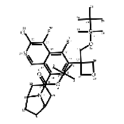 CC(C)(C)OC(=O)N1C2CCC1CN(c1nc(C3(CO[Si](C)(C)C(C)(C)C)COC3)c(Br)c3c(F)c(Cl)ncc13)C2